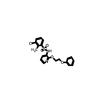 Cc1c(Cl)cccc1S(=O)(=O)Nc1cccnc1OCCOc1ccccc1